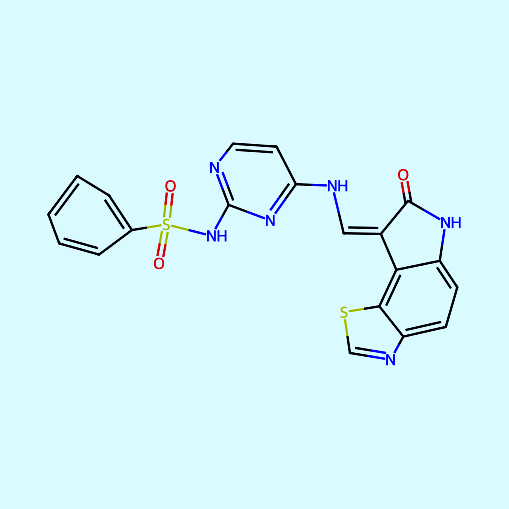 O=C1Nc2ccc3ncsc3c2C1=CNc1ccnc(NS(=O)(=O)c2ccccc2)n1